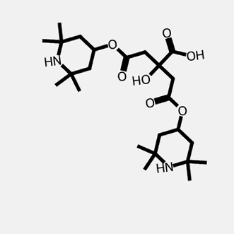 CC1(C)CC(OC(=O)CC(O)(CC(=O)OC2CC(C)(C)NC(C)(C)C2)C(=O)O)CC(C)(C)N1